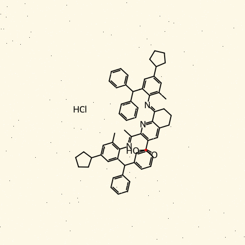 CC(=Nc1c(C)cc(C2CCCC2)cc1C(c1ccccc1)c1ccccc1)c1nc2c(cc1C(=O)O)CCCC2=Nc1c(C)cc(C2CCCC2)cc1C(c1ccccc1)c1ccccc1.Cl